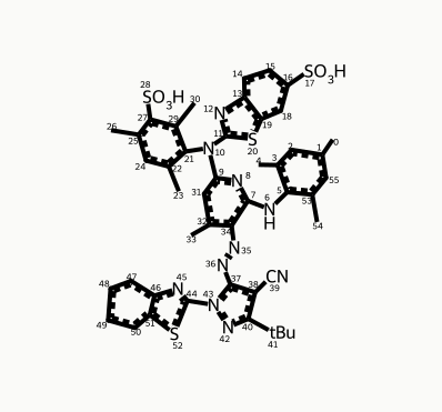 Cc1cc(C)c(Nc2nc(N(c3nc4ccc(S(=O)(=O)O)cc4s3)c3c(C)cc(C)c(S(=O)(=O)O)c3C)cc(C)c2N=Nc2c(C#N)c(C(C)(C)C)nn2-c2nc3ccccc3s2)c(C)c1